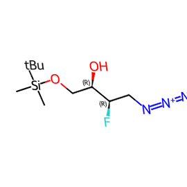 CC(C)(C)[Si](C)(C)OC[C@@H](O)[C@H](F)CN=[N+]=[N-]